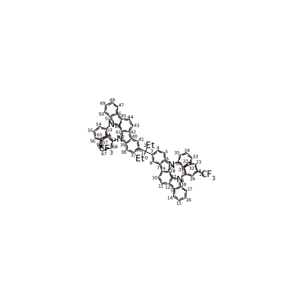 CCC(CC)(c1ccc2c(c1)c1ccc3c4ccccc4n(-c4cccc(C(F)(F)F)c4)c3c1n2-c1ccccc1)c1ccc2c(c1)c1ccc3c4ccccc4n(-c4cccc(C(F)(F)F)c4)c3c1n2-c1ccccc1